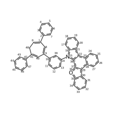 C1=C(c2ccccc2)C=C(c2cccc(-n3c4ccccc4c4c5ccccc5c5c6ccccc6oc5c43)c2)C=C(c2ccccc2)C1